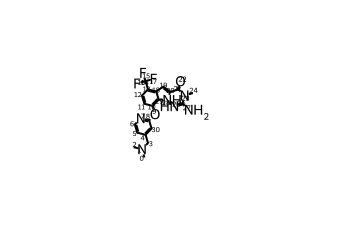 CN(C)Cc1ccnc(Oc2ccc(C(F)(F)F)c3cc(C(=O)N(C)C(=N)N)[nH]c23)c1